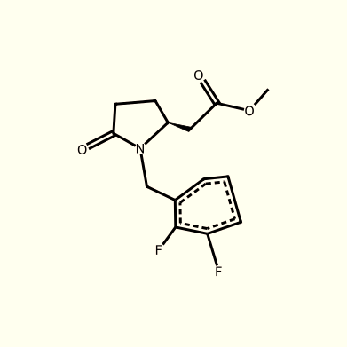 COC(=O)C[C@@H]1CCC(=O)N1Cc1cccc(F)c1F